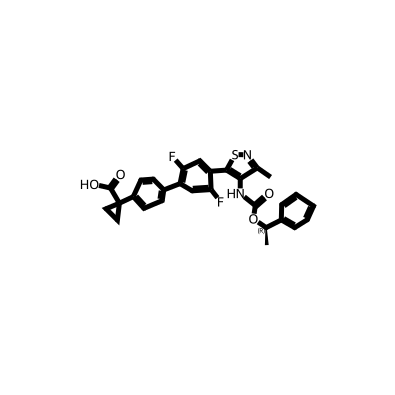 Cc1nsc(-c2cc(F)c(-c3ccc(C4(C(=O)O)CC4)cc3)cc2F)c1NC(=O)O[C@H](C)c1ccccc1